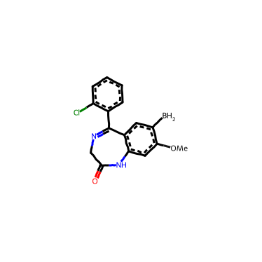 Bc1cc2c(cc1OC)NC(=O)CN=C2c1ccccc1Cl